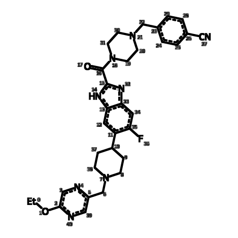 CCOc1cnc(CN2CCC(c3cc4[nH]c(C(=O)N5CCN(Cc6ccc(C#N)cc6)CC5)nc4cc3F)CC2)cn1